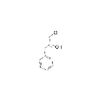 O[C@@H](CCl)Cc1ccccc1